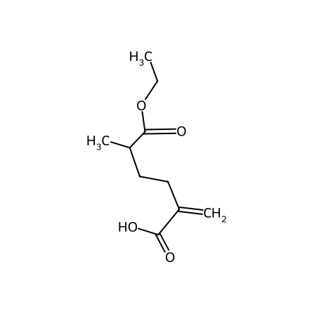 C=C(CCC(C)C(=O)OCC)C(=O)O